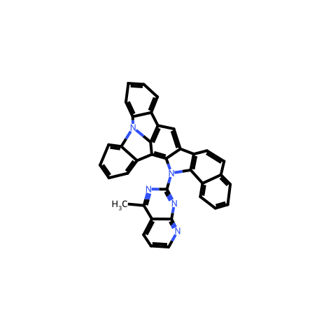 Cc1nc(-n2c3c4ccccc4ccc3c3cc4c5ccccc5n5c6ccccc6c(c32)c45)nc2ncccc12